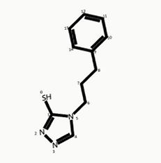 Sc1nncn1CCCc1ccccc1